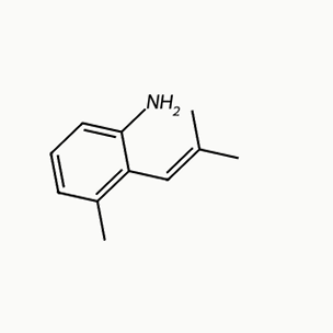 CC(C)=Cc1c(C)cccc1N